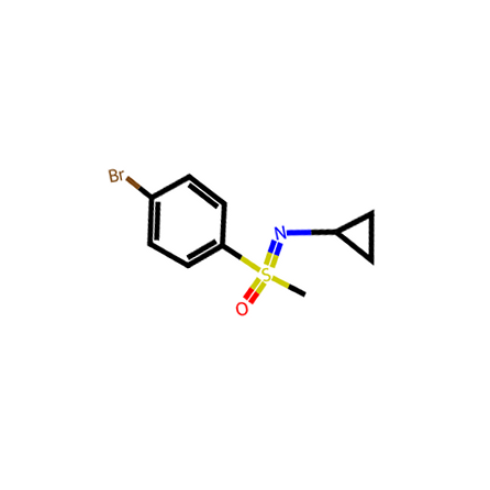 CS(=O)(=NC1CC1)c1ccc(Br)cc1